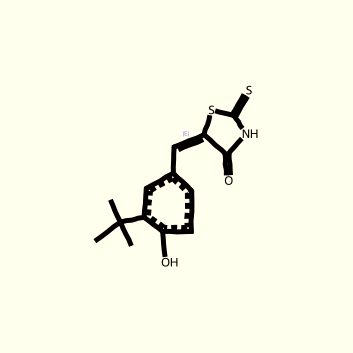 CC(C)(C)c1cc(/C=C2/SC(=S)NC2=O)ccc1O